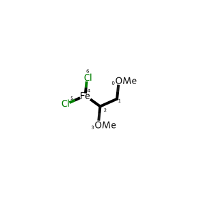 COC[CH](OC)[Fe]([Cl])[Cl]